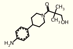 CC(C)(CO)C(=O)N1CCC(c2ccc(N)cc2)CC1